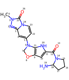 Cn1nc2cc(N3COc4cc(C(=O)N5CCCC5N)[nH]c43)ccn2c1=O